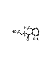 Cc1cccc(N)c1C(=O)NCC(=O)O